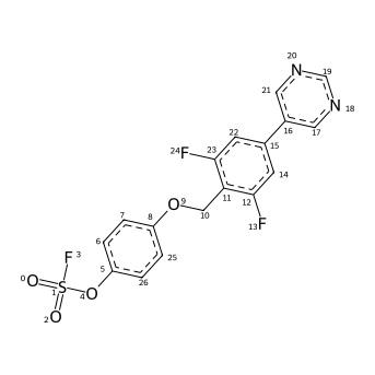 O=S(=O)(F)Oc1ccc(OCc2c(F)cc(-c3cncnc3)cc2F)cc1